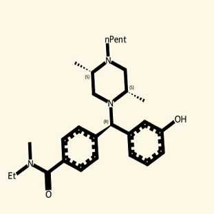 CCCCCN1C[C@H](C)N([C@H](c2ccc(C(=O)N(C)CC)cc2)c2cccc(O)c2)C[C@@H]1C